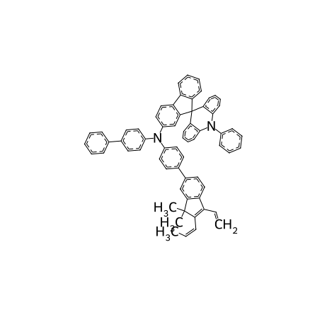 C=CC1=C(/C=C\C)C(C)(C)c2cc(-c3ccc(N(c4ccc(-c5ccccc5)cc4)c4ccc5c(c4)C4(c6ccccc6-5)c5ccccc5N(c5ccccc5)c5ccccc54)cc3)ccc21